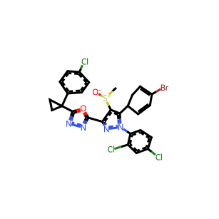 C[S+]([O-])c1c(-c2nnc(C3(c4ccc(Cl)cc4)CC3)o2)nn(-c2ccc(Cl)cc2Cl)c1C1C=CC(Br)=CC1